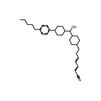 CCCCCc1ccc(C2CCC(C(O)C3CCC(CCC=CC=CC#N)CC3)CC2)cc1